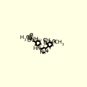 COc1ccc(-c2cc(Nc3cccc(CNS(C)(=O)=O)c3)ncn2)c(OC)c1